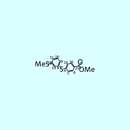 COC(=O)c1ccc(Sc2cccc(SC)c2)cc1